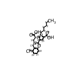 CCCCCCn1nc(C(=O)N(CCC(=O)O)Cc2ccccc2Cl)cc1C(=O)O